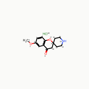 COc1ccc2c(c1)C(=O)CC1(CCNCC1)O2.Cl